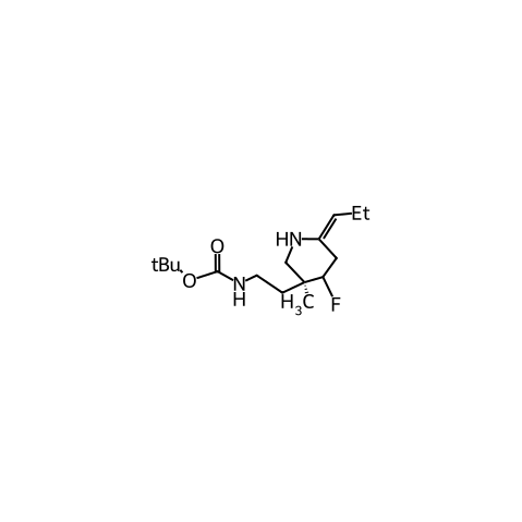 CC/C=C1\CC(F)[C@@](C)(CCNC(=O)OC(C)(C)C)CN1